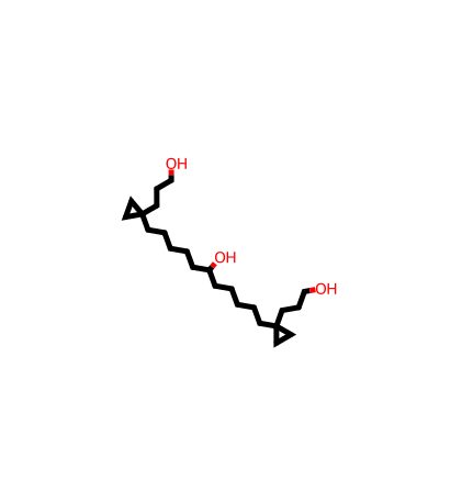 OCCCC1(CCCCCC(O)CCCCCC2(CCCO)CC2)CC1